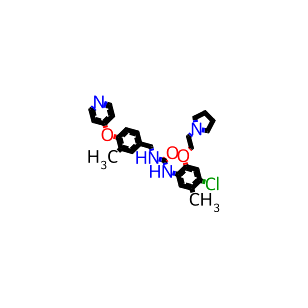 Cc1cc(NC(=O)NCc2ccc(Oc3ccncc3)c(C)c2)c(OCCN2CCCC2)cc1Cl